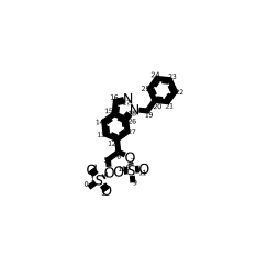 CS(=O)(=O)OCC(OS(C)(=O)=O)c1ccc2cnn(Cc3ccccc3)c2c1